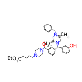 CCOC(=O)CCCCN1CCN(C(=O)c2cccc(C(c3cccc(O)c3)N3C[C@@H](C)N(Cc4ccccc4)C[C@H]3C)c2)CC1